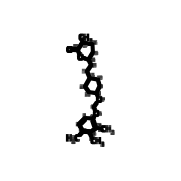 Cc1ccc(OCOC2CCC(CCC3CCC(C)C(=O)O3)CC2)c(C)c1C